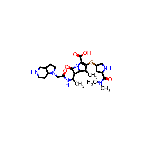 CC(NC(=O)CN1CCC2CNCCC21)C1C(=O)N2C(C(=O)O)=C(SC3CNC(C(=O)N(C)C)C3)C(C)C12